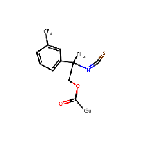 CC(C)(C)C(=O)OCC(C)(N=C=S)c1cccc(C(F)(F)F)c1